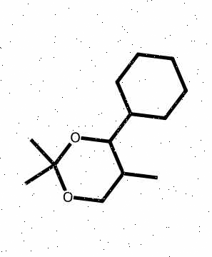 CC1COC(C)(C)OC1C1CCCCC1